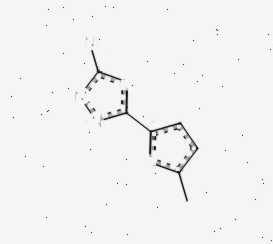 Cc1ccc(-c2nnc(N)s2)s1